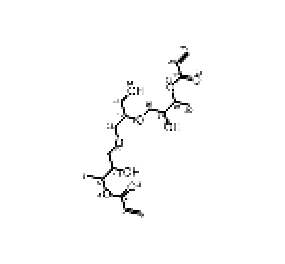 C=CC(=O)OC(C)C(O)COCC(CO)OCC(O)C(C)OC(=O)C=C